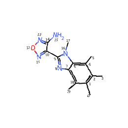 Cc1c(C)c(C)c2c(nc(-c3nonc3N)n2C)c1C